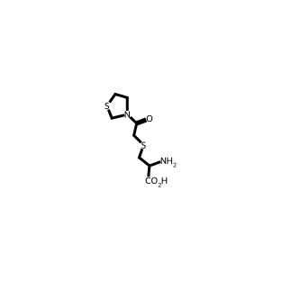 NC(CSCC(=O)N1CCSC1)C(=O)O